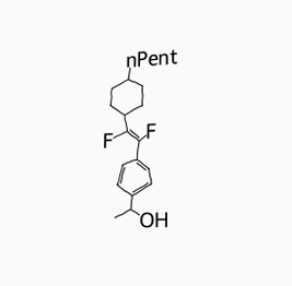 CCCCCC1CCC(/C(F)=C(\F)c2ccc(C(C)O)cc2)CC1